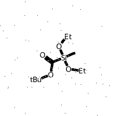 CCO[Si](C)(OCC)C(=O)OC(C)(C)C